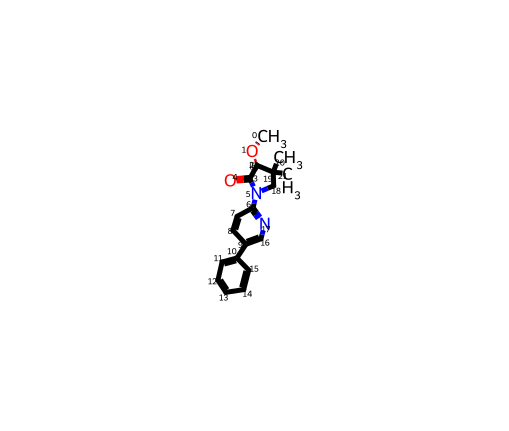 CO[C@H]1C(=O)N(c2ccc(-c3ccccc3)cn2)CC1(C)C